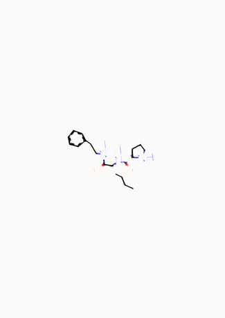 CCCC[C@@H](NC(=O)[C@@H]1CCCN1)C(=O)NCCc1ccccc1